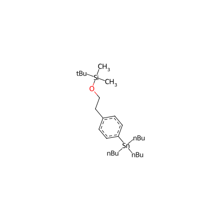 CCC[CH2][Sn]([CH2]CCC)([CH2]CCC)[c]1ccc(CCO[Si](C)(C)C(C)(C)C)cc1